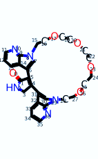 O=C1NCC2=C1c1cn(c3ncccc13)CCOCCOCCOCCOCCn1cc2c2cccnc21